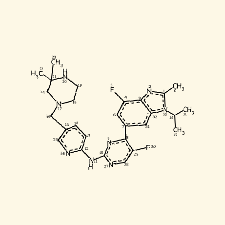 Cc1nc2c(F)cc(-c3nc(Nc4ccc(CN5CCNC(C)(C)C5)cn4)ncc3F)cc2n1C(C)C